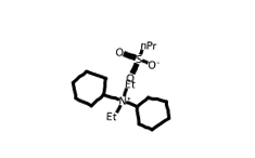 CCCS(=O)(=O)[O-].CC[N+](CC)(C1CCCCC1)C1CCCCC1